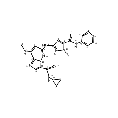 CNc1cc(Nc2cc(C(=O)Nc3ccccc3)n(C)n2)nn2c(C(=O)NC3CC3)cnc12